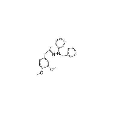 COc1ccc(CC(C)=NN(Cc2ccccc2)c2ccccc2)cc1OC